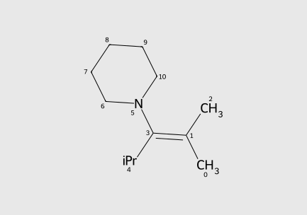 CC(C)=C(C(C)C)N1CCCCC1